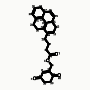 O=C1C=C(COC(=O)CCCC2=CCC3C=CC4CC=CC5=C4C3=C2CC5)C(=O)CC1